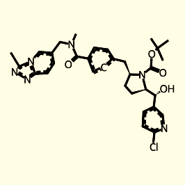 Cc1nnc2ccc(CN(C)C(=O)c3ccc(C[C@@H]4CC[C@H]([C@H](O)c5ccc(Cl)nc5)N4C(=O)OC(C)(C)C)cc3)cn12